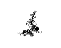 CC(C)(COP(=O)(O)OP(=O)(O)OC[C@H]1O[C@@H](n2cnc3c(N)ncnc32)[C@H](O)[C@@H]1OP(=O)(O)O)[C@@H](O)C(=O)NCCC(=O)NCCS.Nc1ccccc1C(=O)O